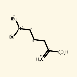 C=C(CCCN(C(C)CC)C(C)CC)C(=O)O